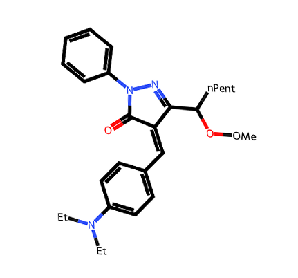 CCCCCC(OOC)C1=NN(c2ccccc2)C(=O)/C1=C\c1ccc(N(CC)CC)cc1